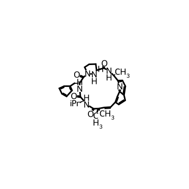 CC(C)[C@@H]1NC(=O)C(C)(C)/C=C/c2ccc3ccc(nc3c2)[C@@H](C)NC(=O)[C@@H]2CCCN(N2)C(=O)[C@H](Cc2ccccc2)NC1=O